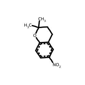 CC1(C)CCc2cc([N+](=O)[O-])ccc2O1